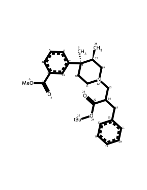 COC(=O)c1cccc([C@]2(C)CCN(CC(Cc3ccccc3)C(=O)OC(C)(C)C)C[C@@H]2C)c1